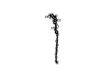 CCc1c2c(nc3ccc(OCC(=O)N/N=C(\C)c4ccc(OCCCCOCCOCCOCCOCCOCCOCCN=[N+]=[N-])cc4)cc13)-c1cc3c(c(=O)n1C2)COC(=O)[C@]3(O)CC